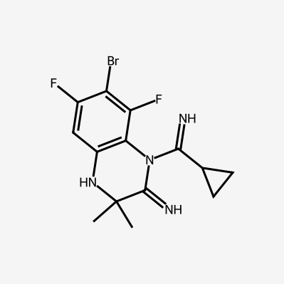 CC1(C)Nc2cc(F)c(Br)c(F)c2N(C(=N)C2CC2)C1=N